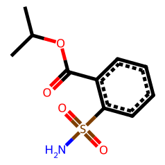 CC(C)OC(=O)c1ccccc1S(N)(=O)=O